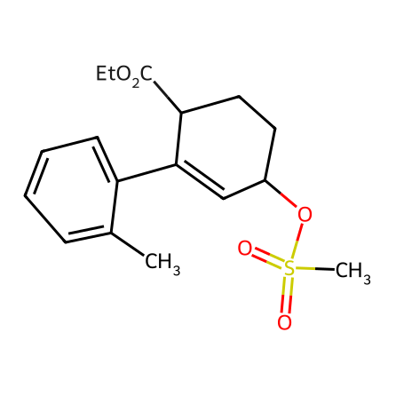 CCOC(=O)C1CCC(OS(C)(=O)=O)C=C1c1ccccc1C